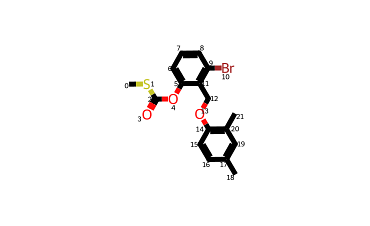 CSC(=O)Oc1cccc(Br)c1COc1ccc(C)cc1C